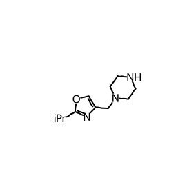 CC(C)c1nc(CN2CCNCC2)co1